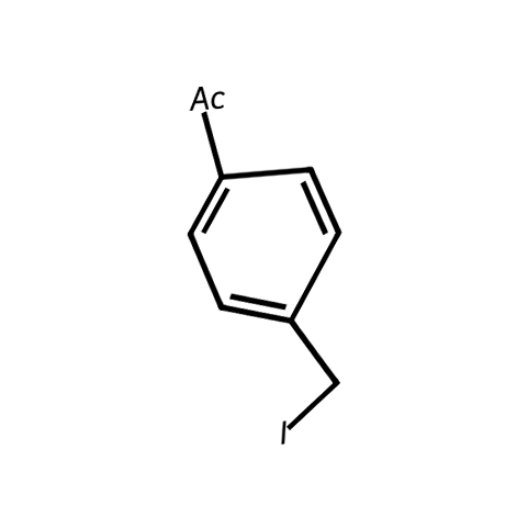 CC(=O)c1ccc(CI)cc1